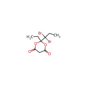 CCC(Br)(Br)C1(CC)OC(=O)CC(=O)O1